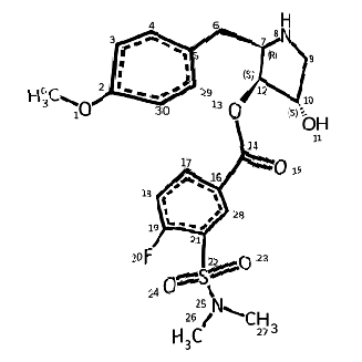 COc1ccc(C[C@H]2NC[C@H](O)[C@H]2OC(=O)c2ccc(F)c(S(=O)(=O)N(C)C)c2)cc1